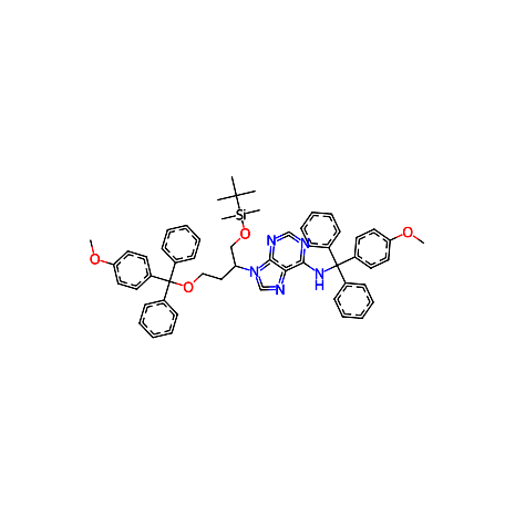 COc1ccc(C(Nc2ncnc3c2ncn3C(CCOC(c2ccccc2)(c2ccccc2)c2ccc(OC)cc2)CO[Si](C)(C)C(C)(C)C)(c2ccccc2)c2ccccc2)cc1